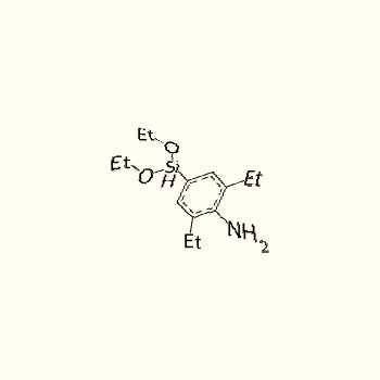 CCO[SiH](OCC)c1cc(CC)c(N)c(CC)c1